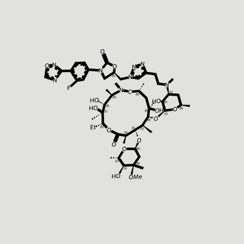 CC[C@H]1OC(=O)[C@H](C)[C@@H](O[C@H]2C[C@@](C)(OC)[C@@H](O)[C@H](C)O2)[C@H](C)[C@@H](O[C@@H]2O[C@H](C)C[C@H](N(C)CCc3cn(C[C@H]4CN(c5ccc(-c6ncon6)c(F)c5)C(=O)O4)nn3)[C@H]2O)[C@](C)(O)C[C@@H](C)CN(C)[C@H](C)[C@@H](O)[C@]1(C)O